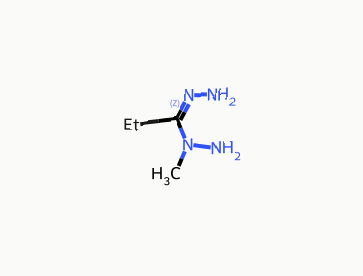 CC/C(=N/N)N(C)N